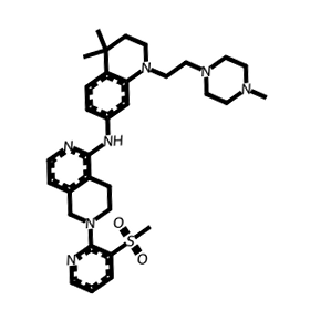 CN1CCN(CCN2CCC(C)(C)c3ccc(Nc4nccc5c4CCN(c4ncccc4S(C)(=O)=O)C5)cc32)CC1